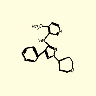 O=C(O)c1ccncc1Nc1nn(C2CCOCC2)cc1-c1ccccc1